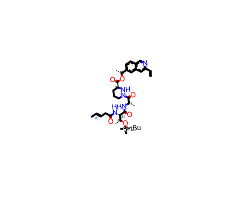 C=Cc1cc2cc([C@@H](C)OC(=O)[C@@H]3CCCN(C(=O)[C@H](C)NC(=O)[C@@H](NC(=O)C/C=C/C)[C@@H](C)O[Si](C)(C)C(C)(C)C)N3)ccc2cn1